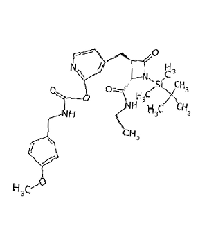 CCNC(=O)[C@@H]1[C@@H](Cc2ccnc(OC(=O)NCc3ccc(OC)cc3)c2)C(=O)N1[Si](C)(C)C(C)(C)C